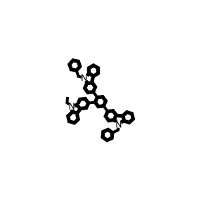 CCn1c2ccccc2c2cc(-c3cc(-c4ccc5c(c4)c4ccccc4n5Cc4ccccc4)ccc3-c3ccc4c(c3)c3ccccc3n4Cc3ccccc3)ccc21